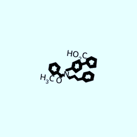 Cc1ccccc1C(=O)N(CCCc1ccccc1)Cc1ccc(-c2ccccc2C(=O)O)cc1